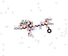 CCCCCCCCCCC[C@H](CC(=O)O[C@@H]1[C@@H](NC(=O)OCC(Cl)(Cl)Cl)[C@H](OCCCNC(=O)C[C@@H](OC(=O)CCCCCCCCC)[C@H](CCCCCCCCCC)OCc2ccccc2)O[C@@H]2COC(C)(C)O[C@@H]12)OC(=O)CCCCCCCCC